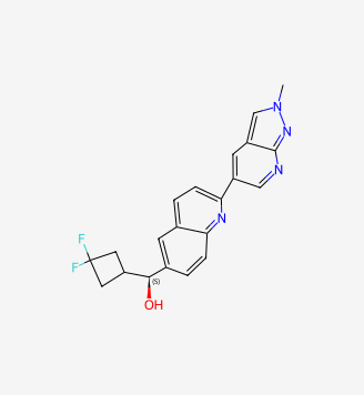 Cn1cc2cc(-c3ccc4cc([C@@H](O)C5CC(F)(F)C5)ccc4n3)cnc2n1